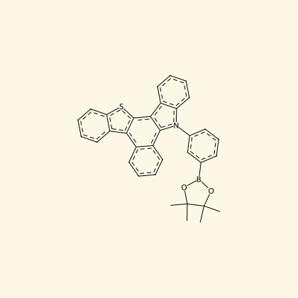 CC1(C)OB(c2cccc(-n3c4ccccc4c4c5sc6ccccc6c5c5ccccc5c43)c2)OC1(C)C